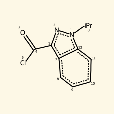 CC(C)n1nc(C(=O)Cl)c2ccccc21